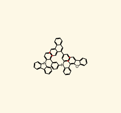 c1cc(-c2ccccc2-n2c3ccccc3c3ccccc32)cc(N(c2cccc(-c3cc4ccccc4c4ccccc34)c2)c2ccccc2-c2cccc3c2oc2ccccc23)c1